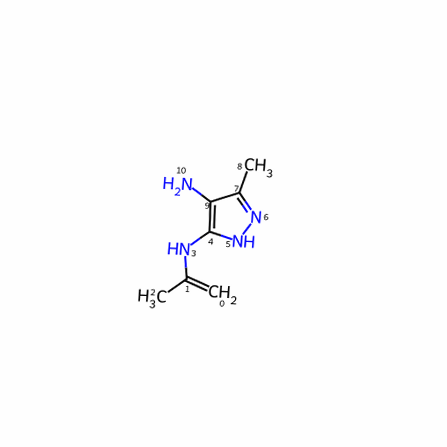 C=C(C)Nc1[nH]nc(C)c1N